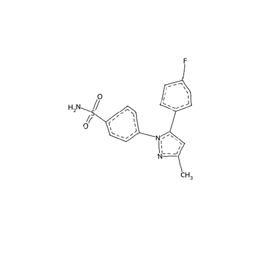 Cc1cc(-c2ccc(F)cc2)n(-c2ccc(S(N)(=O)=O)cc2)n1